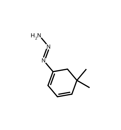 CC1(C)C=CC=C(N=NN)C1